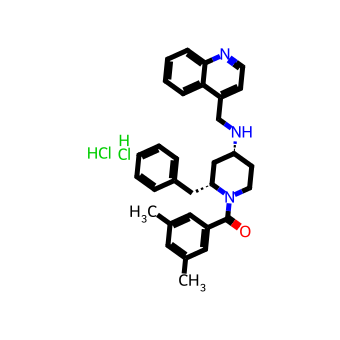 Cc1cc(C)cc(C(=O)N2CC[C@@H](NCc3ccnc4ccccc34)C[C@H]2Cc2ccccc2)c1.Cl.Cl